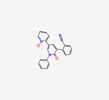 N#Cc1ccccc1-c1cc(-c2cccc[n+]2[O-])cn(-c2ccccc2)c1=O